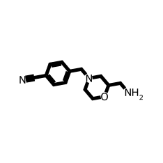 N#Cc1ccc(CN2CCOC(CN)C2)cc1